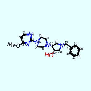 COc1ccnc(N2CCN([C@@H]3CN(Cc4ccccc4)C[C@H]3O)CC2)n1